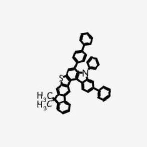 CC1(C)c2ccccc2-c2cc3c(cc21)sc1cc(-c2ccc(-c4ccccc4)cc2)c2c(c4ccc(-c5ccccc5)cc4n2-c2ccccc2)c13